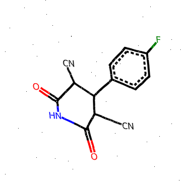 N#CC1C(=O)NC(=O)C(C#N)C1c1ccc(F)cc1